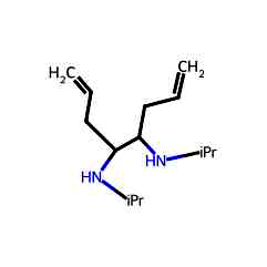 C=CCC(NC(C)C)C(CC=C)NC(C)C